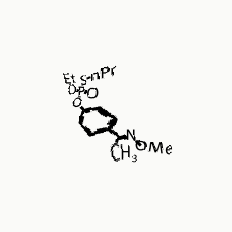 CCCSP(=O)(OCC)Oc1ccc(C(C)=NOC)cc1